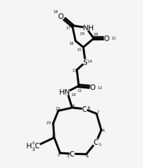 CC1CCCCCCCC(NC(=O)CSC2CC(=O)NC2=O)CC1